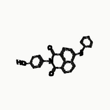 O=C1c2cccc3c(Sc4ccccc4)ccc(c23)C(=O)N1c1ccc(O)cc1